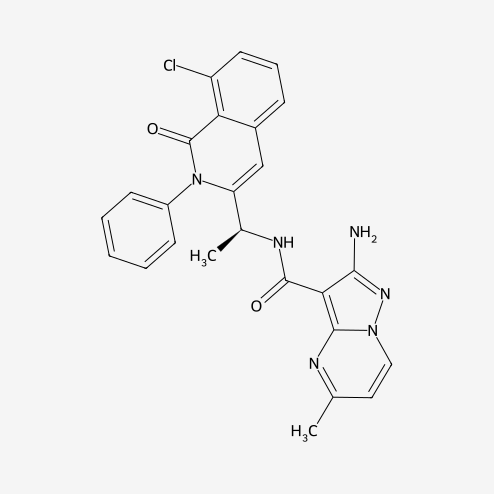 Cc1ccn2nc(N)c(C(=O)N[C@@H](C)c3cc4cccc(Cl)c4c(=O)n3-c3ccccc3)c2n1